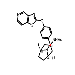 CC(=O)N[C@H]1C[C@H]2CC[C@@H](C1)N2Cc1ccc(Oc2nc3cnccc3s2)cc1